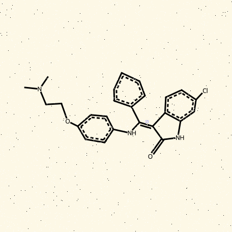 CN(C)CCOc1ccc(N/C(=C2\C(=O)Nc3cc(Cl)ccc32)c2ccccc2)cc1